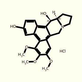 COc1cc2c3c(c4ccc(O)cc4c2c(OC)c1OC)[C@@H](O)[C@H]1CCCN1C3.Cl